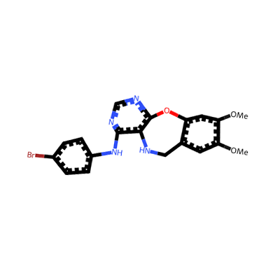 COc1cc2c(cc1OC)Oc1ncnc(Nc3ccc(Br)cc3)c1NC2